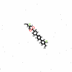 CCCC1(F)COC(C2CCC(c3ccc(-c4ccc(CC)c(F)c4)cc3)CC2)OC1